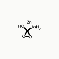 OC1([AsH2])OO1.[Zn]